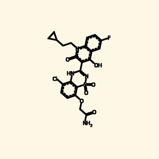 NC(=O)COc1ccc(Cl)c2c1S(=O)(=O)N=C(c1c(O)c3cc(F)ccc3n(CCC3CC3)c1=O)N2